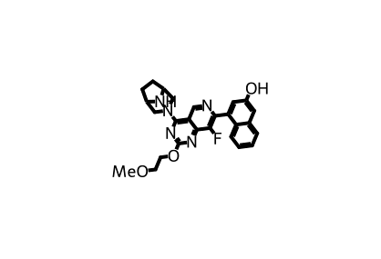 COCCOc1nc(N2CC3CCC(C2)N3)c2cnc(-c3cc(O)cc4ccccc34)c(F)c2n1